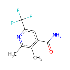 Cc1nc(C(F)(F)F)cc(C(N)=O)c1C